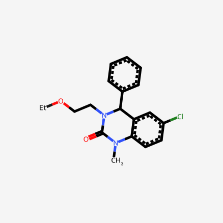 CCOCCN1C(=O)N(C)c2ccc(Cl)cc2C1c1ccccc1